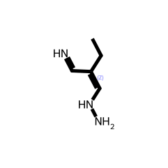 CC/C(C=N)=C/NN